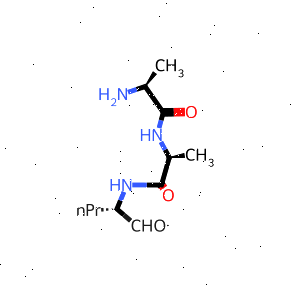 CCC[C@@H]([C]=O)NC(=O)[C@H](C)NC(=O)[C@H](C)N